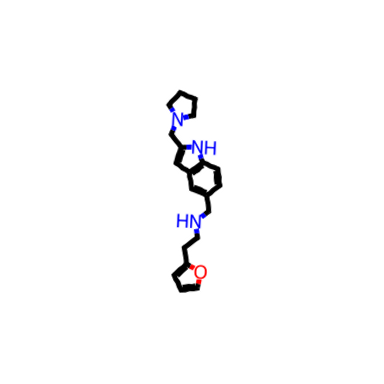 c1coc(CCNCc2ccc3[nH]c(CN4CCCC4)cc3c2)c1